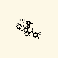 Cc1cc(C(=O)O)[nH]c1/C=C1\C(=O)N(CN2CCOCC2)c2ncnc(Nc3ccc(F)c(Cl)c3)c21